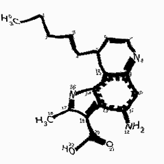 CCCCCC1C=CN=c2cc(N)c3c(c21)N=C(C)C=3C(=O)O